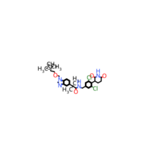 CC(C)(C(=O)NCc1cc(Cl)c(C2CCC(=O)NC2=O)c(Cl)c1)c1ccc2c(c1)ncn2COCC[Si](C)(C)C